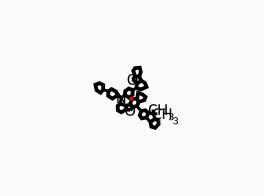 CC1(C)c2ccccc2-c2ccc(-c3c4ccccc4cc4c3oc3cccc(N(c5ccc(-c6ccccc6)cc5)c5ccc(-c6cccc7c6oc6ccccc67)cc5)c34)cc21